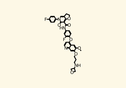 COc1cc2c(Oc3ccc(NC(=O)c4c5c(cn(-c6ccc(F)cc6)c4=O)CCO5)cc3F)ccnc2cc1OCCCNC1COC1